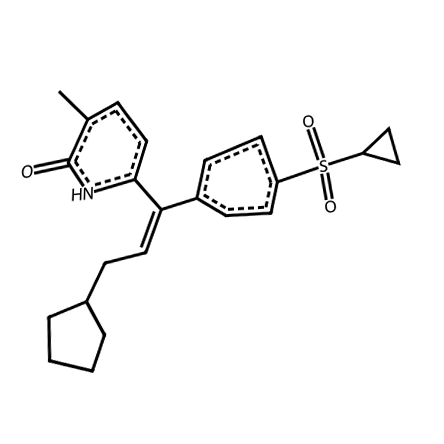 Cc1ccc(/C(=C\CC2CCCC2)c2ccc(S(=O)(=O)C3CC3)cc2)[nH]c1=O